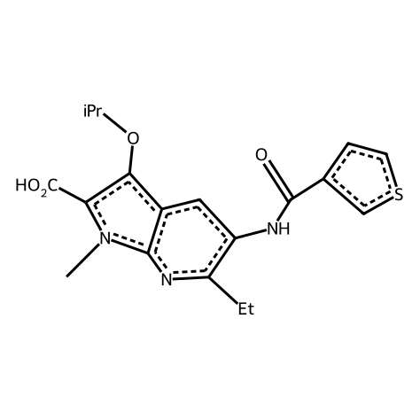 CCc1nc2c(cc1NC(=O)c1ccsc1)c(OC(C)C)c(C(=O)O)n2C